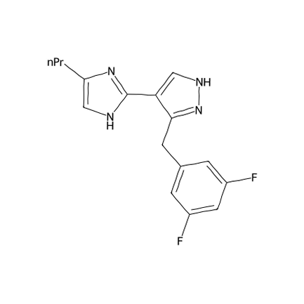 CCCc1c[nH]c(-c2c[nH]nc2Cc2cc(F)cc(F)c2)n1